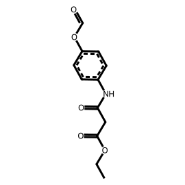 CCOC(=O)CC(=O)Nc1ccc(OC=O)cc1